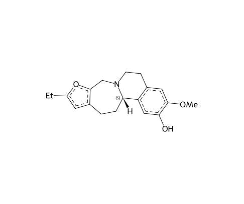 CCc1cc2c(o1)CN1CCc3cc(OC)c(O)cc3[C@@H]1CC2